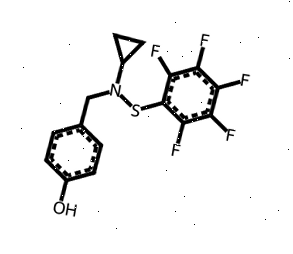 Oc1ccc(CN(Sc2c(F)c(F)c(F)c(F)c2F)C2CC2)cc1